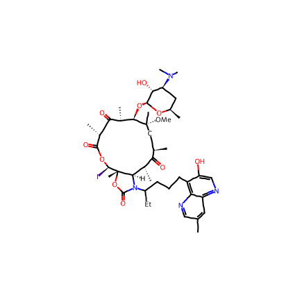 CCC(CCCc1c(O)cnc2cc(C)cnc12)N1C(=O)O[C@]2(C)[C@@H](I)OC(=O)[C@H](C)C(=O)[C@H](C)[C@@H](O[C@@H]3O[C@H](C)C[C@H](N(C)C)[C@H]3O)[C@](C)(OC)C[C@@H](C)C(=O)[C@H](C)[C@@H]12